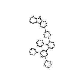 c1ccc(-c2cc(-c3cccc(-c4ccc(-c5ccc6sc7ccccc7c6c5)cc4)c3-c3ccccc3)cc(-c3ccccc3)n2)cc1